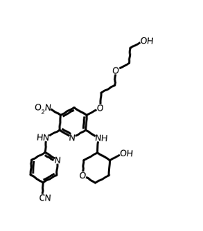 N#Cc1ccc(Nc2nc(NC3COCCC3O)c(OCCOCCO)cc2[N+](=O)[O-])nc1